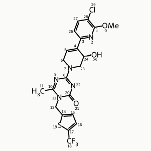 COc1nc(C2=CCN(c3nc(C)n(Cc4ccc(C(F)(F)F)s4)c(=O)n3)C[C@@H]2O)ccc1Cl